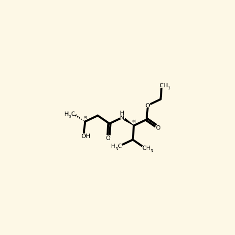 CCOC(=O)[C@H](NC(=O)C[C@@H](C)O)C(C)C